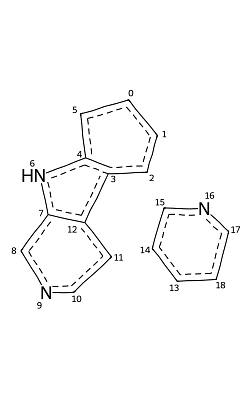 c1ccc2c(c1)[nH]c1cnccc12.c1ccncc1